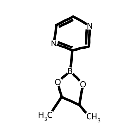 CC1OB(c2cnccn2)OC1C